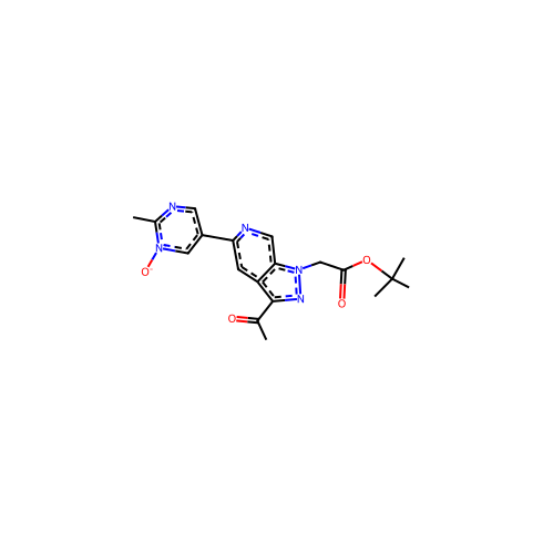 CC(=O)c1nn(CC(=O)OC(C)(C)C)c2cnc(-c3cnc(C)[n+]([O-])c3)cc12